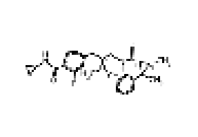 C[C@H]1[C@@H](C(=O)NC[C@H](Cc2ccc(C(=O)NC3CC3)c(F)c2)N(C)C)C1(C)c1ccccc1